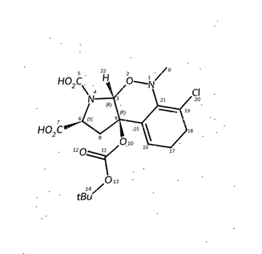 CN1O[C@H]2N(C(=O)O)[C@H](C(=O)O)C[C@@]2(OC(=O)OC(C)(C)C)C2=CCCC(Cl)=C21